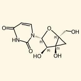 O=c1ccn([C@@H]2O[C@@]3(CO)C[C@]3(O)[C@H]2O)c(=O)[nH]1